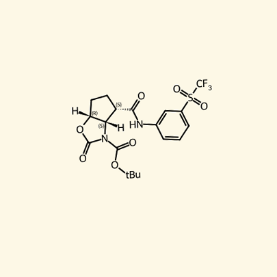 CC(C)(C)OC(=O)N1C(=O)O[C@@H]2CC[C@H](C(=O)Nc3cccc(S(=O)(=O)C(F)(F)F)c3)[C@@H]21